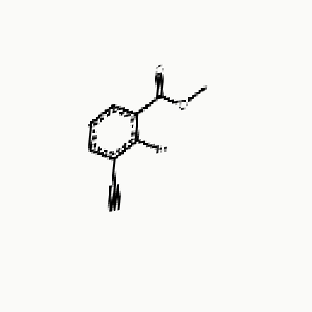 C#Cc1cccc(C(=O)OC)c1Br